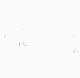 CCCC(=O)Nc1ccc(C(=O)C(C)C)cc1